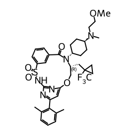 COCCN(C)[C@H]1CC[C@H](N2C(=O)c3cccc(c3)S(=O)(=O)Nc3nc(cc(-c4c(C)cccc4C)n3)OC[C@H]2CC2(C(F)(F)F)CC2)CC1